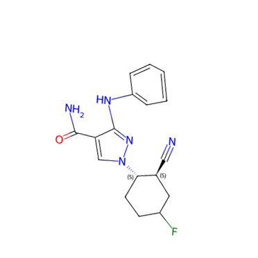 N#C[C@H]1CC(F)CC[C@@H]1n1cc(C(N)=O)c(Nc2ccccc2)n1